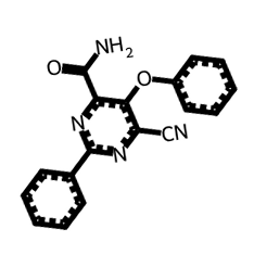 N#Cc1nc(-c2ccccc2)nc(C(N)=O)c1Oc1ccccc1